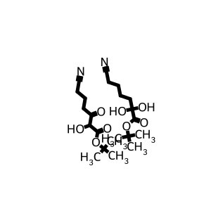 CC(C)(C)OC(=O)C(O)(O)CCCCC#N.CC(C)(C)OC(=O)C(O)C(=O)CCCC#N